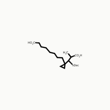 CCCCCCCCCCC(C(C)C(=O)O)C1(CCCCCCCC(=O)O)CC1